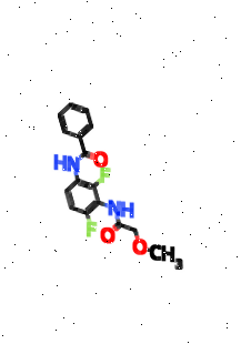 COCC(=O)Nc1c(F)ccc(NC(=O)c2ccccc2)c1F